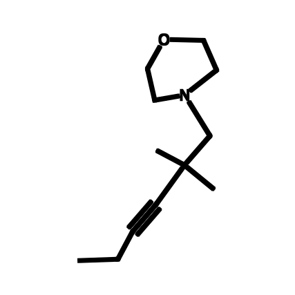 CCC#CC(C)(C)CN1CCOCC1